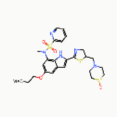 COCCOc1cc(N(C)S(=O)(=O)c2ccccn2)c2[nH]c(C3=NCC(CN4CC[S+]([O-])CC4)S3)cc2c1